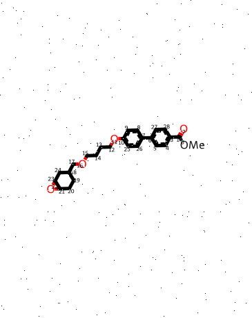 COC(=O)c1ccc(-c2ccc(OCCCCOCC3CCC4OC4C3)cc2)cc1